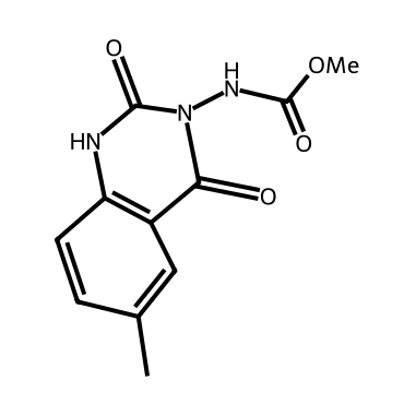 COC(=O)Nn1c(=O)[nH]c2ccc(C)cc2c1=O